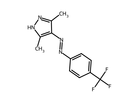 Cc1n[nH]c(C)c1/N=N/c1ccc(C(F)(F)F)cc1